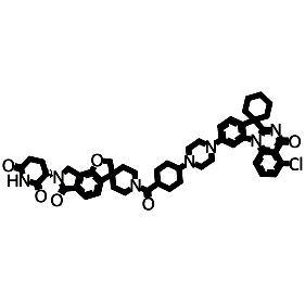 O=C1CC[C@H](N2Cc3c(ccc4c3OCC43CCN(C(=O)C4CCC(N5CCN(c6ccc7c(c6)-n6c(nc(=O)c8c(Cl)cccc86)C76CCCCC6)CC5)CC4)CC3)C2=O)C(=O)N1